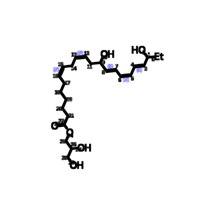 CCC(O)/C=C/C=C\C=C\C(O)C/C=C\C/C=C\CCCCCC(=O)OCC(O)CO